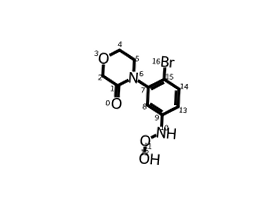 O=C1COCCN1c1cc(NOO)ccc1Br